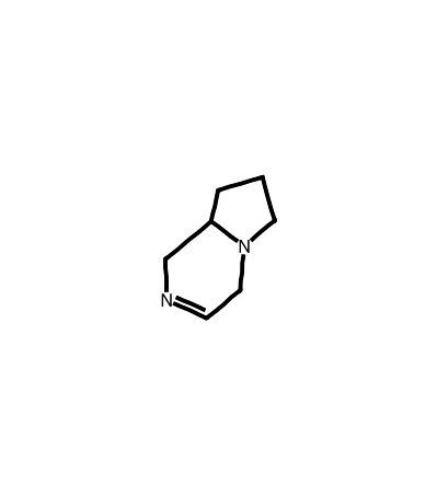 C1=NCC2CCCN2C1